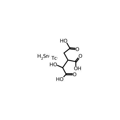 O=C(O)CC(C(=O)O)C(O)C(=O)O.[SnH2].[Tc]